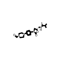 CC(C)C(=S)NC[C@H]1CN(c2ccc(N3CCN(C=O)CC3)cc2)C(=O)O1